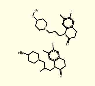 CCCCC1CCN(CC(C)CN2C(=O)CCc3cc(F)c(C)cc32)CC1.CCCOC1CCN(CCCN2C(=O)CCc3cc(F)c(C)cc32)CC1